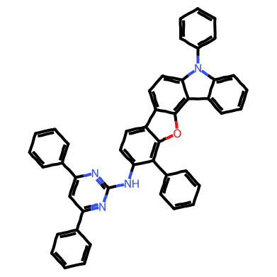 c1ccc(-c2cc(-c3ccccc3)nc(Nc3ccc4c(oc5c4ccc4c5c5ccccc5n4-c4ccccc4)c3-c3ccccc3)n2)cc1